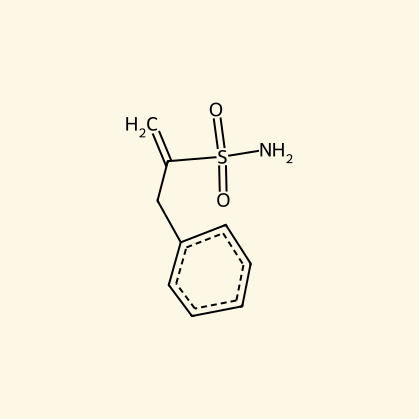 C=C(Cc1ccccc1)S(N)(=O)=O